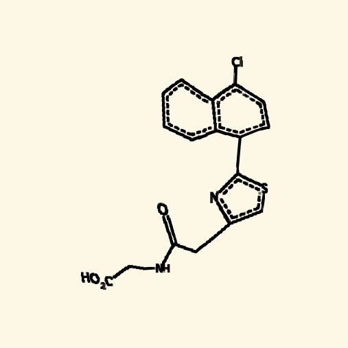 O=C(O)CNC(=O)Cc1csc(-c2ccc(Cl)c3ccccc23)n1